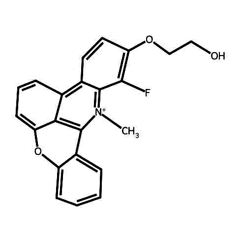 C[n+]1c2c3c(cccc3c3ccc(OCCO)c(F)c31)Oc1ccccc1-2